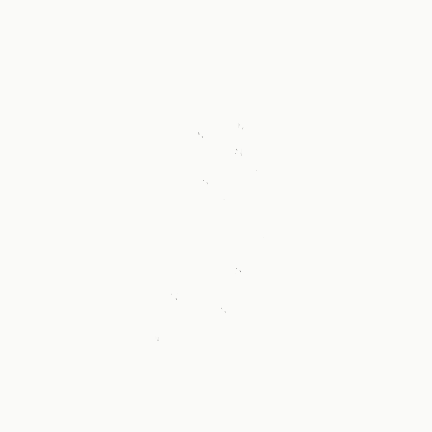 Cc1nc2nc(C)c(C[C@@H]3CCN(c4cnc(Br)cn4)C3)c(C)n2n1